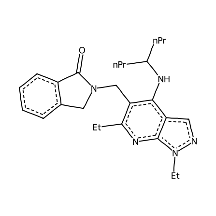 CCCC(CCC)Nc1c(CN2Cc3ccccc3C2=O)c(CC)nc2c1cnn2CC